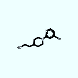 OCCC1CCN(c2cc(Br)ccn2)CC1